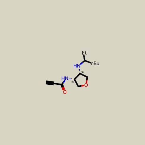 C#CC(=O)N[C@H]1COC[C@H]1NC(CC)CCCC